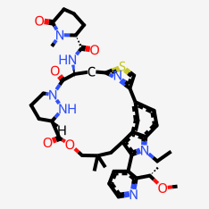 CCn1c(-c2cccnc2[C@H](C)OC)c2c3cc(ccc31)-c1csc(n1)C[C@H](NC(=O)[C@H]1CCCC(=O)N1C)C(=O)N1CCC[C@H](N1)C(=O)OCC(C)(C)C2